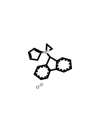 C1=CC[C]([Hf+2]2([CH]3c4ccccc4-c4ccccc43)[CH2][CH2]2)=C1.[Cl-].[Cl-]